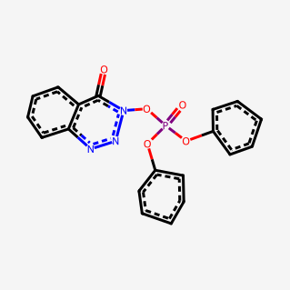 O=c1c2ccccc2nnn1OP(=O)(Oc1ccccc1)Oc1ccccc1